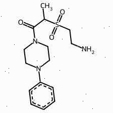 CC(C(=O)N1CCN(c2ccccc2)CC1)S(=O)(=O)CCN